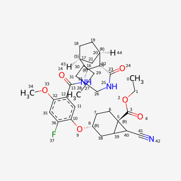 CCOC(=O)[C@]12CC[C@@H](Oc3cc(C(=O)N[C@@H]4[C@H]5CC[C@H](C5)[C@@H]4C(=O)NCC4(C)CCC4)c(OC)cc3F)CC1C2C#N